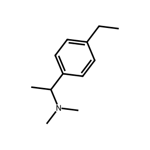 CCc1ccc(C(C)N(C)C)cc1